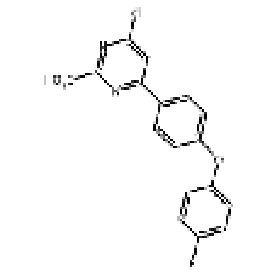 O=C(O)c1nc(Cl)cc(-c2ccc(Oc3ccc(F)cc3)cc2)n1